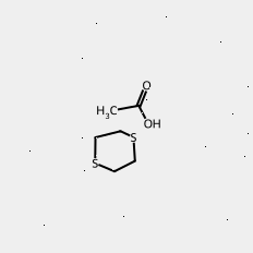 C1CSCCS1.CC(=O)O